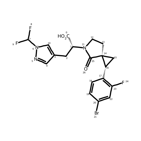 O=C(O)[C@@H](Cc1cnn(C(F)F)c1)N1CC[C@@]2(C[C@@H]2c2ccc(Br)cc2F)C1=O